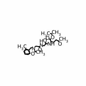 CC(=O)CCC(NC(=O)CNC(=O)CN(Cc1ccccc1C)C(C)=O)C(=O)OC(C)C